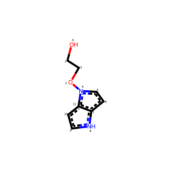 OCCOn1ccc2[nH]ccc21